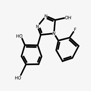 Oc1ccc(-c2nnc(O)n2-c2ccccc2F)c(O)c1